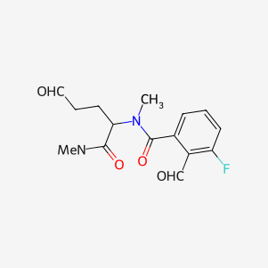 CNC(=O)C(CCC=O)N(C)C(=O)c1cccc(F)c1C=O